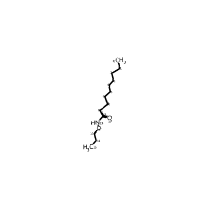 CCCCCCCCCC(=O)NOCCC